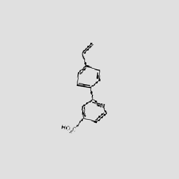 C=Cc1ccc(-c2cc(C(=O)O)ccn2)cc1